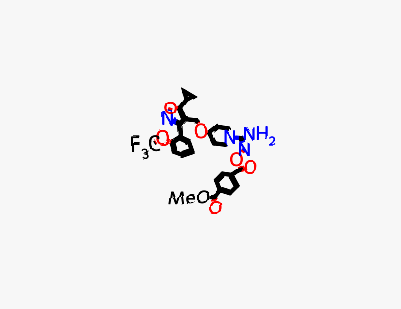 COC(=O)c1ccc(C(=O)ON=C(N)N2CCC(OCc3c(-c4ccccc4OC(F)(F)F)noc3C3CC3)CC2)cc1